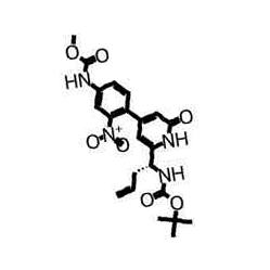 C=CC[C@@H](NC(=O)OC(C)(C)C)c1cc(-c2ccc(NC(=O)OC)cc2[N+](=O)[O-])cc(=O)[nH]1